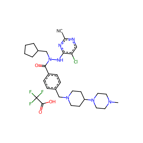 CN1CCN(C2CCN(Cc3ccc(C(=O)N(CC4CCCC4)Nc4nc(C#N)ncc4Cl)cc3)CC2)CC1.O=C(O)C(F)(F)F